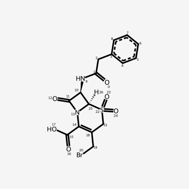 O=C(Cc1ccccc1)N[C@@H]1C(=O)N2C(C(=O)O)=C(CBr)CS(=O)(=O)[C@H]12